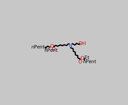 CCCCCC(CCCCC)CCOC(=O)CCCCCCCN(CCCCO)CCCCCCCC(=O)OC(CC)CCCCC